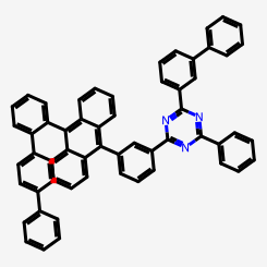 c1ccc(-c2ccc(-c3ccccc3-c3c4ccccc4c(-c4cccc(-c5nc(-c6ccccc6)nc(-c6cccc(-c7ccccc7)c6)n5)c4)c4ccccc34)cc2)cc1